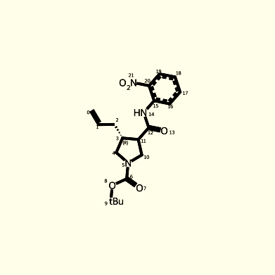 C=CC[C@H]1CN(C(=O)OC(C)(C)C)CC1C(=O)Nc1ccccc1[N+](=O)[O-]